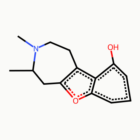 CC1Cc2oc3cccc(O)c3c2CCN1C